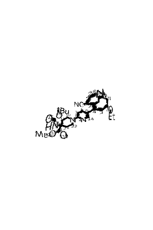 CCOc1cc(-c2ccc(N3CCC(NC(=O)OC(C)(C)C)(C(=O)OC)CC3)nc2)c2c(C#N)cnn2c1